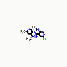 Cc1nc(NC(C)c2ccnc(C(F)(F)F)c2)c2cc(Br)ncc2n1